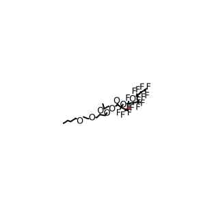 CCCCOCCOCC1COC(C)(COC(=O)C(F)(OC(F)(F)C(F)(OC(F)(F)C(F)(F)C(F)(F)F)C(F)(F)F)C(F)(F)F)O1